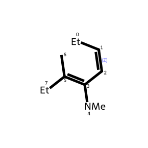 CC/C=C\C(NC)=C(C)CC